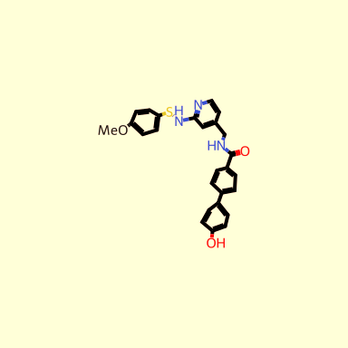 COc1ccc(SNc2cc(CNC(=O)c3ccc(-c4ccc(O)cc4)cc3)ccn2)cc1